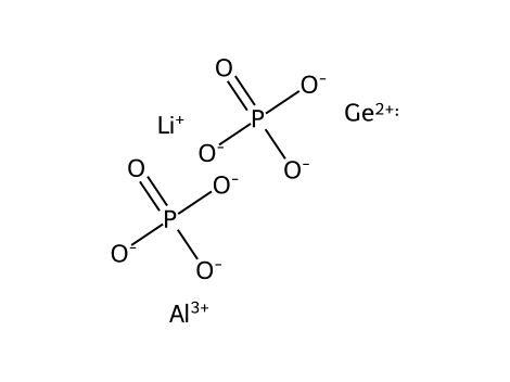 O=P([O-])([O-])[O-].O=P([O-])([O-])[O-].[Al+3].[Ge+2].[Li+]